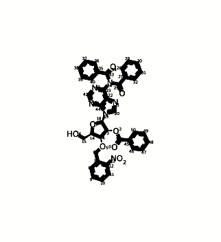 O=C(O[C@@H]1[C@H](OCc2ccccc2[N+](=O)[O-])[C@@H](CO)O[C@H]1n1cnc2c(N(C(=O)c3ccccc3)C(=O)c3ccccc3)ncnc21)c1ccccc1